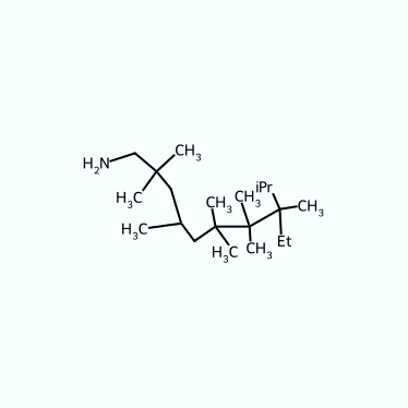 CCC(C)(C(C)C)C(C)(C)C(C)(C)CC(C)CC(C)(C)CN